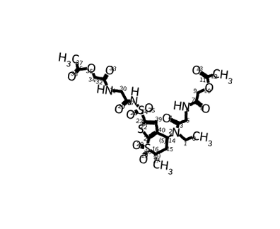 CCN(C(=O)CNC(=O)COC(C)=O)[C@H]1C[C@H](C)S(=O)(=O)c2sc(S(=O)(=O)NC(=O)CNC(=O)COC(C)=O)cc21